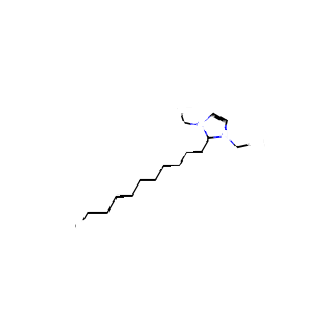 CCCCCCCCCCCC1N(CC)C=CN1CC